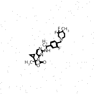 CC1CCN(Cc2ccc([C@H](C)Nc3nccc(N4C(=O)OC[C@]4(C)C4CC4)n3)cc2F)CC1(F)F